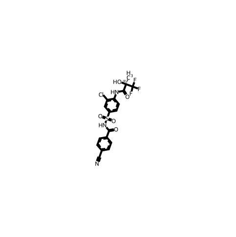 C[C@@](O)(C(=O)Nc1ccc(S(=O)(=O)NC(=O)c2ccc(C#N)cc2)cc1Cl)C(F)(F)F